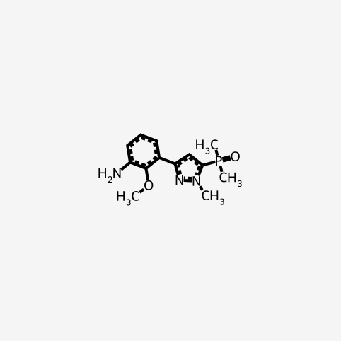 COc1c(N)cccc1-c1cc(P(C)(C)=O)n(C)n1